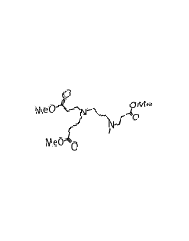 COC(=O)CCN(C)CCCN(CCC(=O)OC)CCC(=O)OC